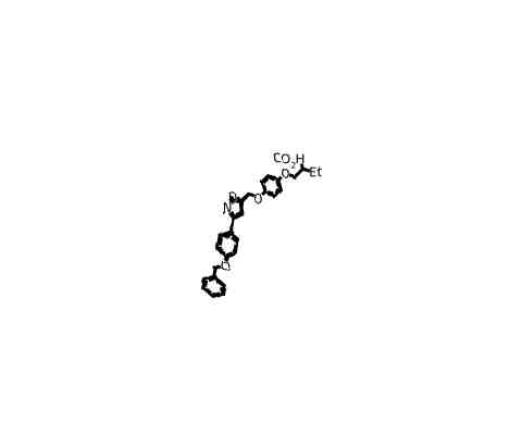 CCC(COc1ccc(OCc2cc(-c3ccc(OCc4ccccc4)cc3)no2)cc1)C(=O)O